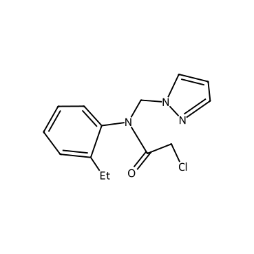 CCc1ccccc1N(Cn1cccn1)C(=O)CCl